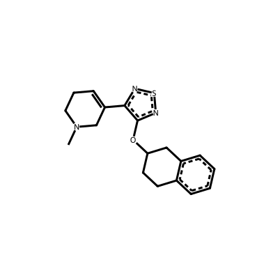 CN1CCC=C(c2nsnc2OC2CCc3ccccc3C2)C1